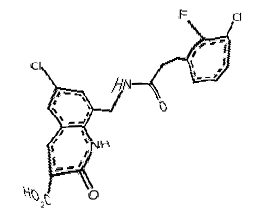 O=C(Cc1cccc(Cl)c1F)NCc1cc(Cl)cc2cc(C(=O)O)c(=O)[nH]c12